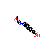 CCCC(=O)N1CCN(CCN[C@]23CCCC2[C@H]2CCC4[C@@]5(C)CC=C(c6ccc(C(=O)O)cc6)C(C)(C)C5CC[C@@]4(C)[C@]2(C)CC3)CC1